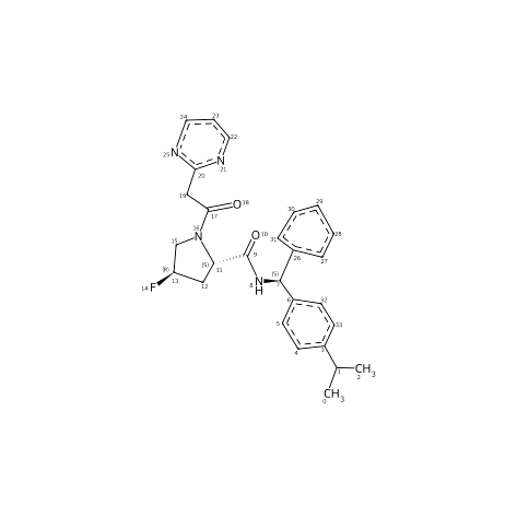 CC(C)c1ccc([C@@H](NC(=O)[C@@H]2C[C@@H](F)CN2C(=O)Cc2ncccn2)c2ccccc2)cc1